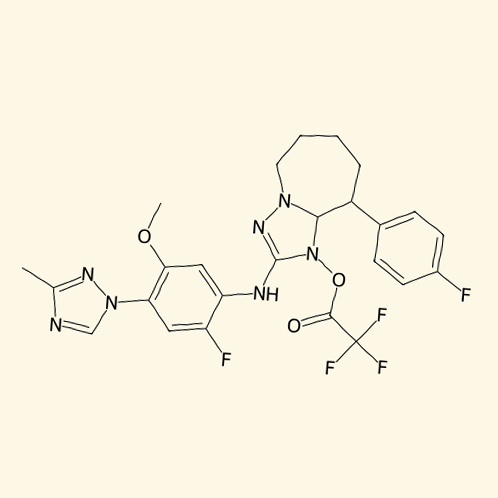 COc1cc(NC2=NN3CCCCC(c4ccc(F)cc4)C3N2OC(=O)C(F)(F)F)c(F)cc1-n1cnc(C)n1